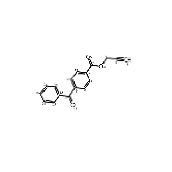 C#CCOC(=O)c1ccc(C(=O)c2ccccc2)cc1